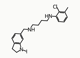 Cc1cccc(NCCCCNCc2ccc3c(c2)N(I)CC3)c1Cl